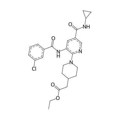 CCOC(=O)CC1CCN(c2ncc(C(=O)NC3CC3)cc2NC(=O)c2cccc(Cl)c2)CC1